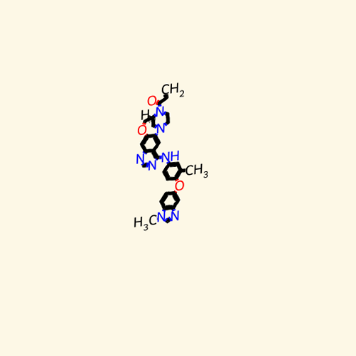 C=CC(=O)N1CCN2C[C@H]1COc1cc3ncnc(Nc4ccc(Oc5ccc6c(c5)ncn6C)c(C)c4)c3cc12